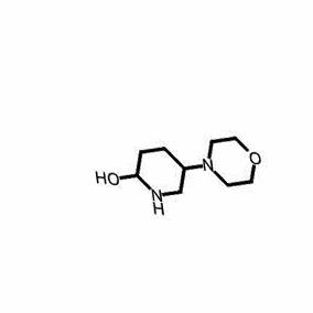 OC1CCC(N2CCOCC2)CN1